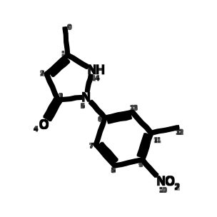 Cc1cc(=O)n(-c2ccc([N+](=O)[O-])c(C)c2)[nH]1